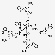 NCCCC[C@H](CC(=O)OCc1ccccc1Cl)C(=O)NCCNC(=O)CCN(CCC(=O)NCCNC(=O)[C@H](CCCCN)NC(=O)OCc1ccccc1Cl)[C@@H](CN(CCC(=O)CCCNC(=O)[C@@H](CCCCN)NC(=O)OCc1ccccc1Cl)CCC(=O)NCCCC(=O)[C@H](CCCCN)NC(=O)OCc1ccccc1Cl)C(=O)CCc1cc2ccccc2[nH]1